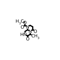 COC(=O)N1CCC(=O)N2C(C)C(=O)NCC12